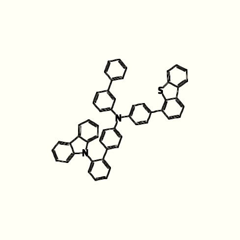 c1ccc(-c2cccc(N(c3ccc(-c4ccccc4-n4c5ccccc5c5ccccc54)cc3)c3ccc(-c4cccc5c4sc4ccccc45)cc3)c2)cc1